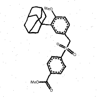 COC(=O)c1ccc(S(=O)(=O)Cc2ccc(OC)c(C34CC5CC(CC(C5)C3)C4)c2)cc1